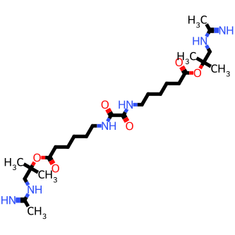 CC(=N)NCC(C)(C)OC(=O)CCCCCNC(=O)C(=O)NCCCCCC(=O)OC(C)(C)CNC(C)=N